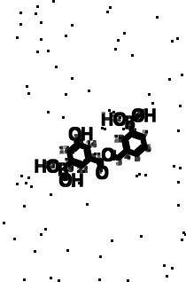 O=C(OCc1cccc(B(O)O)c1)c1cc(O)cc(B(O)O)c1